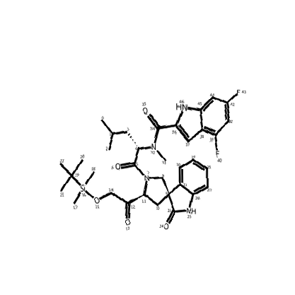 CC(C)C[C@@H](C(=O)N1C[C@]2(C[C@H]1C(=O)CO[Si](C)(C)C(C)(C)C)C(=O)Nc1ccccc12)N(C)C(=O)c1cc2c(F)cc(F)cc2[nH]1